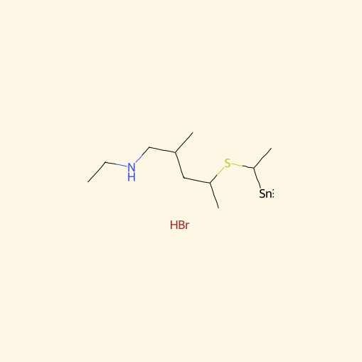 Br.CCNCC(C)CC(C)S[CH](C)[Sn]